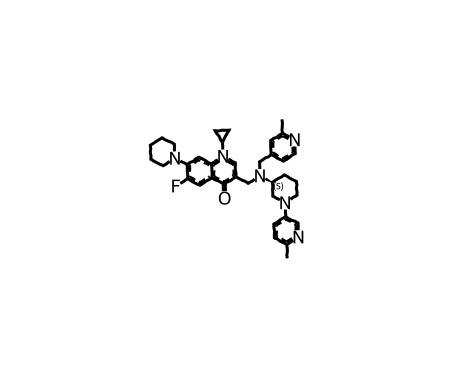 Cc1ccc(N2CCC[C@H](N(Cc3ccnc(C)c3)Cc3cn(C4CC4)c4cc(N5CCCCC5)c(F)cc4c3=O)C2)cn1